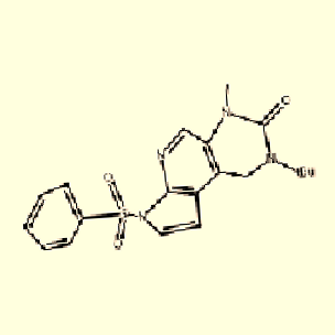 CN1C(=O)N(C(C)(C)C)Cc2c1cnc1c2ccn1S(=O)(=O)c1ccccc1